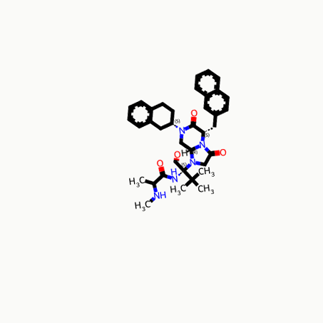 CNC(C)C(=O)N[C@](C=O)(N1CC(=O)N2[C@@H](Cc3ccc4ccccc4c3)C(=O)N([C@H]3CCc4ccccc4C3)C[C@@H]21)C(C)(C)C